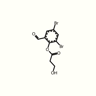 O=Cc1cc(Br)cc(Br)c1OC(=O)CCO